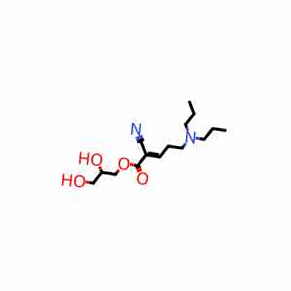 CCCN(CCC)CC/C=C(\C#N)C(=O)OCC(O)CO